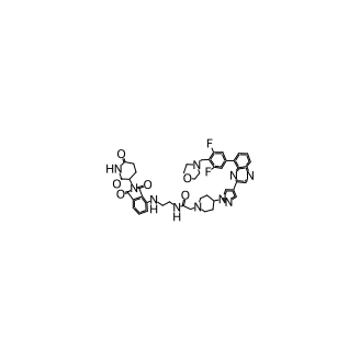 O=C(CN1CCC(n2cc(-c3cnc4cccc(-c5cc(F)c(CN6CCOCC6)c(F)c5)c4n3)cn2)CC1)NCCNc1cccc2c1C(=O)N(C1CCC(=O)NC1=O)C2=O